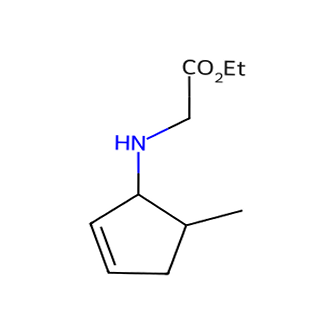 CCOC(=O)CNC1C=CCC1C